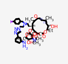 CC[C@H]1OC(=O)C[C@@H](O)[C@H](C)[C@@H](O[C@@H]2O[C@H](C)[C@@H](O)C(N(C)C)C2O)[C@@H](CCN(CCn2cc(-c3cccc(N)c3)nn2)Cc2ccc(I)cc2)C[C@@H](C)C(=O)/C=C/C(C)=C/[C@@H]1CO